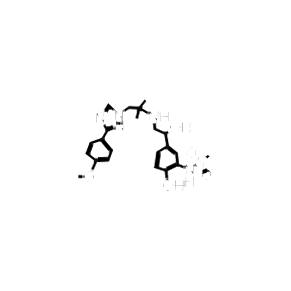 COc1ccc(-c2ncn(CC(C)(C)NCC(O)c3ccc(O)c(NS(C)(=O)=O)c3)n2)cc1